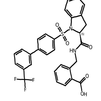 O=C(O)c1ccccc1CNC(=O)[C@@H]1Cc2ccccc2N1S(=O)(=O)c1ccc(-c2cccc(C(F)(F)F)c2)cc1